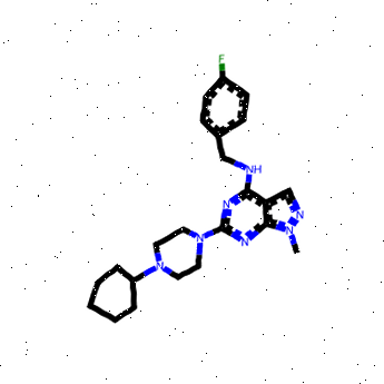 Cn1ncc2c(NCc3ccc(F)cc3)nc(N3CCN(C4CCCCC4)CC3)nc21